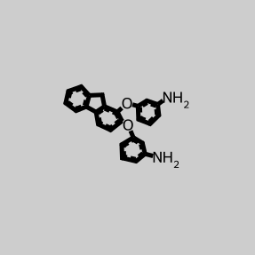 Nc1cccc(Oc2ccc3c(c2Oc2cccc(N)c2)Cc2ccccc2-3)c1